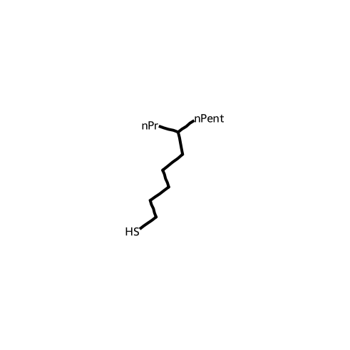 CCCCCC(CCC)CCCCCS